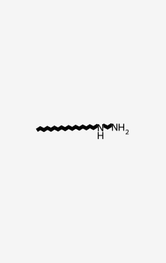 CCCCCCCCCCCCCCCCCCNCCCN